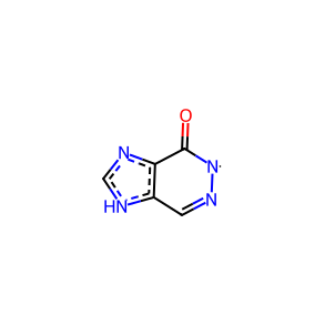 O=C1[N]N=Cc2[nH]cnc21